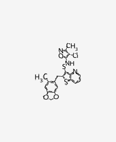 Cc1cc2c(cc1Cc1sc3cccnc3c1SNc1onc(C)c1Cl)OCO2